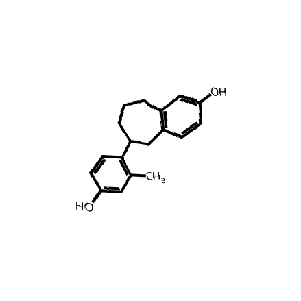 Cc1cc(O)ccc1C1CCCc2cc(O)ccc2C1